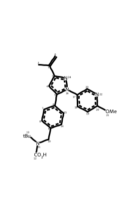 C=C(C)c1cc(-c2ccc(CN(C(=O)O)C(C)(C)C)cc2)n(-c2ccc(OC)nc2)n1